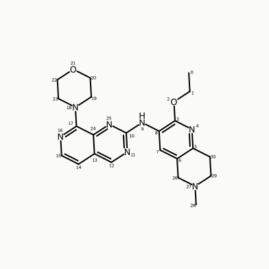 CCOc1nc2c(cc1Nc1ncc3ccnc(N4CCOCC4)c3n1)CN(C)CC2